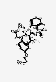 CC(C)CCOc1ccc2c(c1)c(O)c(C1=NS(=O)(=O)c3ccccc3N1)c(=O)n2CC(=O)OC(C)(C)C